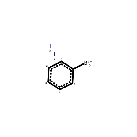 [B+2]c1ccccc1.[I-].[I-]